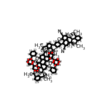 CC(C)c1cccc(C(C)C)c1C1C(=O)c2cc(C#N)c3c4c(c(C#N)cc(c24)C1=O)-c1ccc(-c2ccc(C(C)C)c(N4C(=O)c5cc(Oc6ccccc6-c6ccccc6)c6c7c(Oc8ccccc8-c8ccccc8)cc8c9c(cc(Oc%10ccccc%10-c%10ccccc%10)c(c%10c(Oc%11ccccc%11-c%11ccccc%11)cc(c5c6%10)C4=O)c97)C(=O)N(c4c(C(C)C)cccc4C(C)C)C8=O)c2C(C)C)cc1O3